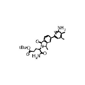 Cc1cc(-c2ccc3c(c2)C(C)N(C(CCC(=O)OC(C)(C)C)C(N)=O)C3=O)nc(N)c1C